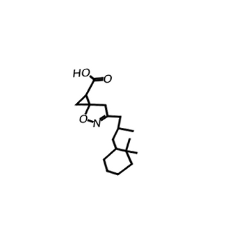 CC(CC1=NOC2(C1)CC2C(=O)O)CC1CCCCC1(C)C